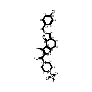 Cc1c(C(=O)N2CCN(S(C)(=O)=O)CC2)oc2c1-c1nn(Cc3ccc(Cl)cc3)cc1CC2